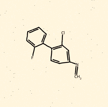 C=Nc1ccc(-c2ccccc2F)c(Cl)c1